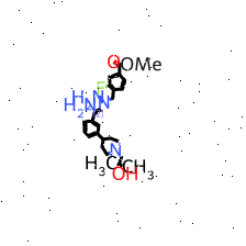 COC(=O)c1ccc(CN(N)/C=C(\N)c2cccc(C3CCN(CC(C)(C)O)CC3)c2)c(F)c1